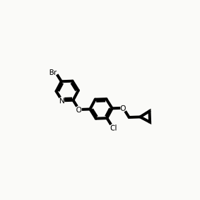 Clc1cc(Oc2ccc(Br)cn2)ccc1OCC1CC1